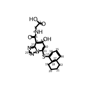 O=C(O)CNC(=O)c1c(O)cc(Sc2cccc3c2CCCC3)n2ncnc12